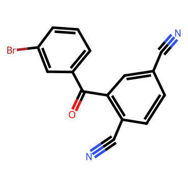 N#Cc1ccc(C#N)c(C(=O)c2cccc(Br)c2)c1